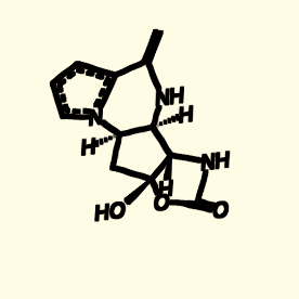 C=C1N[C@@H]2[C@@H](C[C@@]3(O)OC(=O)N[C@@H]23)n2cccc21